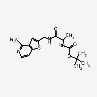 CC(NC(=O)OC(C)(C)C)C(=O)NCc1cc2c(N)nccc2s1